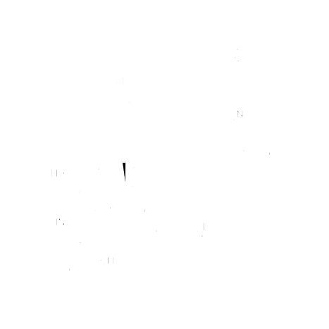 C[C@H]1NC(=O)[C@]2(C)CC[C@@H](c3ccc(C(=O)N4CCSCC4)cc3Cl)[C@H](c3ccc(Cl)cc3)[C@H]12